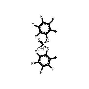 OP(=S)(Oc1c(F)c(F)c(F)c(F)c1F)Sc1c(F)c(F)c(F)c(F)c1F